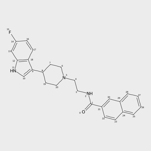 O=C(NCCN1CCC(c2c[nH]c3cc(F)ccc23)CC1)c1ccc2ccccc2c1